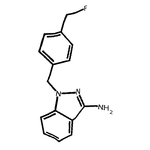 Nc1nn(Cc2ccc(CF)cc2)c2ccccc12